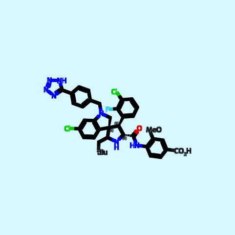 COc1cc(C(=O)O)ccc1NC(=O)[C@@H]1NC(CC(C)(C)C)[C@@]2(CN(Cc3ccc(-c4nnn[nH]4)cc3)c3cc(Cl)ccc32)[C@H]1c1cccc(Cl)c1F